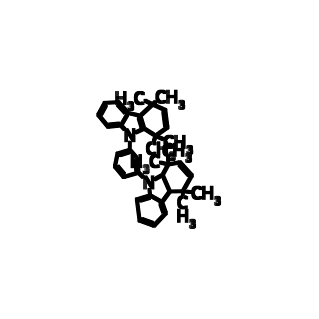 CC1(C)C=CC(C)(C)c2c1c1ccccc1n2-c1cccc(N2c3ccccc3C3C2C(C)(C)C=CC3(C)C)c1